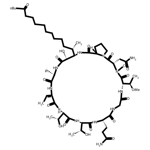 C/C=C1/NC(=O)[C@H](C(C)C)NC(=O)[C@H](O)[C@@H]([C@@H](C)CCCCCCCCCC(=O)CCCC)NC(=O)[C@@H]2CCCN2C(=O)[C@H](CC(N)=O)N(C)C(=O)[C@H]([C@@H](C)OC)NC(=O)CNC(=O)[C@H](CCC(N)=O)NC(=O)[C@H]([C@@H](C)O)NC(=O)[C@H]([C@@H](C)O)NC1=O